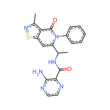 Cc1nsc2cc(C(C)NC(=O)c3nccnc3N)n(-c3ccccc3)c(=O)c12